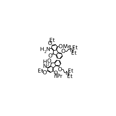 CCCOc1cc(OCC)c(N)c2c1-c1c(OCCN(CC)CC)cccc1C2=O.CCOc1cc(OC)c2c(c1N)C(=O)c1cccc(OCCN(CC)CC)c1-2